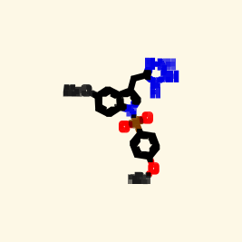 CCCCOc1ccc(S(=O)(=O)n2cc(CC3=NNNN3)c3cc(OC)ccc32)cc1